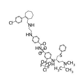 CC(C)N(C)CC[C@H](CSc1ccccc1)Nc1ccc(S(=O)(=O)NC(=O)c2ccc(NCCNCC3=C(c4ccc(Cl)cc4)CCCCC3)cc2)cc1S(=O)(=O)C(F)(F)Cl